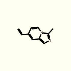 C=Cc1ccn2c(C)ncc2c1